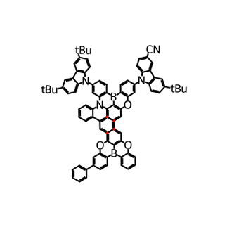 CC(C)(C)c1ccc2c(c1)c1cc(C#N)ccc1n2-c1ccc2c(c1)Oc1cc(-c3cc4c5c(c3)Oc3cc(-c6ccccc6)ccc3B5c3ccccc3O4)cc3c1B2c1ccc(-n2c4ccc(C(C)(C)C)cc4c4cc(C(C)(C)C)ccc42)cc1N3c1ccccc1-c1ccccc1